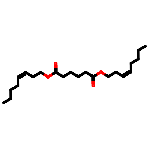 CCCC/C=C\CCOC(=O)CCCCC(=O)OCC/C=C\CCCC